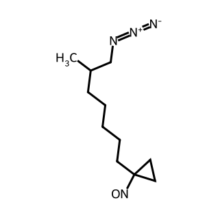 CC(CCCCCC1(N=O)CC1)CN=[N+]=[N-]